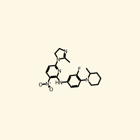 CC1=NCCN1c1ccc([N+](=O)[O-])c(Nc2ccc(N3CCCCC3C)c(F)c2)n1